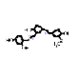 COc1cc(/C=C/c2ccc(O)c(/C=N/Cc3ccc(O)cc3O)c2)ccc1O